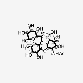 CC(=O)N[C@H]1[C@H](O[C@@H]2[C@@H](O[C@H](C)[C@H]3O[C@H](O)[C@H](O)[C@@H](O)[C@@H]3O)O[C@H](C)[C@@H](O)[C@@H]2O)O[C@H](CO)[C@](O)(F)[C@@H]1O